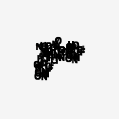 CCN1CCC(Oc2cc3c(Nc4ccc(F)c(Cl)c4)ncnc3cc2OC)CC1.COCCN(C)C(=O)N1CCC(Oc2cc3c(Nc4ccc(F)c(Cl)c4)ncnc3cc2OC)CC1.COc1cc2ncnc(Nc3ccc(F)c(Cl)c3)c2cc1OC1CCN(C(=O)N2CCOC(C)C2)CC1.COc1cc2ncnc(Nc3ccc(F)c(Cl)c3)c2cc1OC1CCN(C(=O)N2C[C@@H]3C[C@H]2CO3)CC1